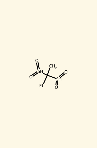 [CH2]C(CC)([SH](=O)=O)[SH](=O)=O